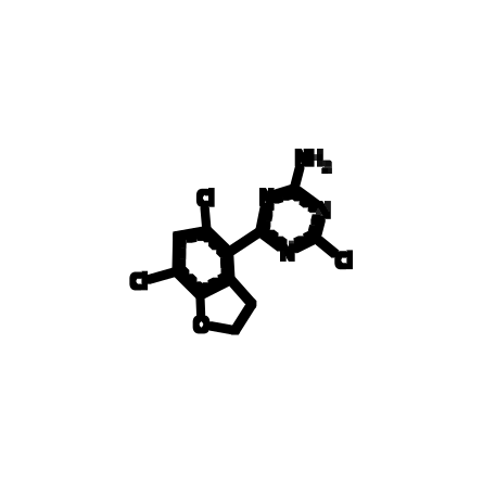 Nc1nc(Cl)nc(-c2c(Cl)cc(Cl)c3c2CCO3)n1